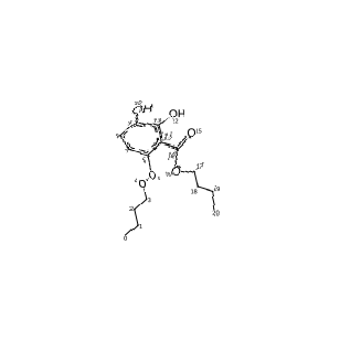 CCCCOOc1ccc(O)c(O)c1C(=O)OCCCC